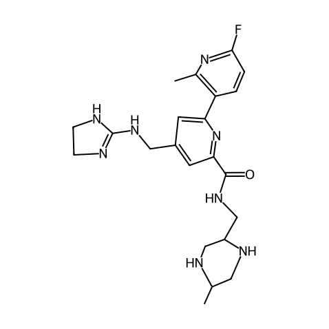 Cc1nc(F)ccc1-c1cc(CNC2=NCCN2)cc(C(=O)NCC2CNC(C)CN2)n1